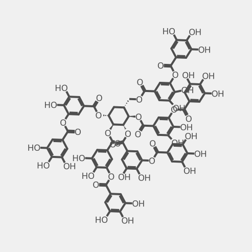 O=C(OC[C@H]1C[C@@H](OC(=O)c2cc(O)c(O)c(OC(=O)c3cc(O)c(O)c(O)c3)c2)[C@H](OC(=O)c2cc(O)c(O)c(OC(=O)c3cc(O)c(O)c(O)c3)c2)[C@@H](OC(=O)c2cc(O)c(O)c(OC(=O)c3cc(O)c(O)c(O)c3)c2)[C@@H]1OC(=O)c1cc(O)c(O)c(OC(=O)c2cc(O)c(O)c(O)c2)c1)c1cc(O)c(O)c(OC(=O)c2cc(O)c(O)c(O)c2)c1